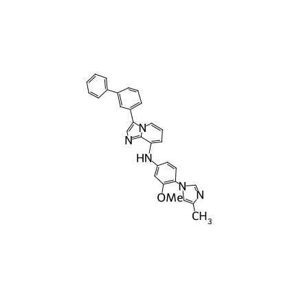 COc1cc(Nc2cccn3c(-c4cccc(-c5ccccc5)c4)cnc23)ccc1-n1cnc(C)c1